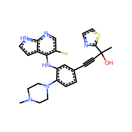 CN1CCN(c2ccc(C#CC(C)(O)c3nccs3)cc2Nc2c(F)cnc3[nH]ccc23)CC1